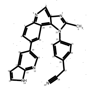 Cc1nc2cnc3ccc(-c4cnc5[nH]ccc5c4)cc3c2n1-c1ccc(CC#N)cc1